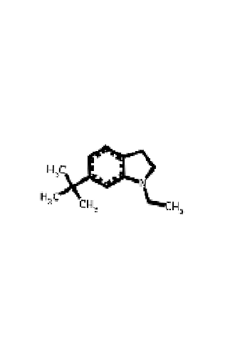 CCN1CCc2ccc(C(C)(C)C)cc21